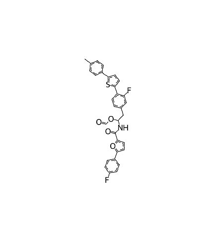 Cc1ccc(-c2ccc(-c3ccc(CC(NC(=O)c4ccc(-c5ccc(F)cc5)o4)OC=O)cc3F)s2)cc1